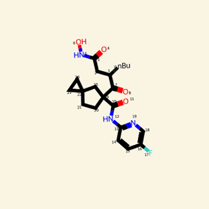 CCCCC(CC(=O)NO)C(=O)C1(C(=O)Nc2ccc(F)cn2)CCC2(CC2)C1